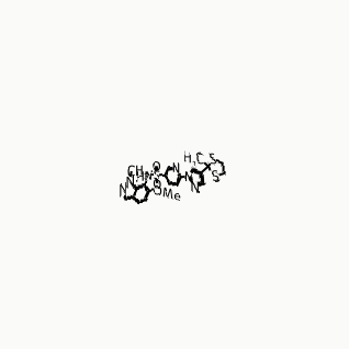 COc1ccc2cnn(C)c2c1NS(=O)(=O)c1ccc(-n2cc(C3(C)SCCS3)cn2)nc1